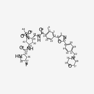 Cc1cc(-c2cnc(-c3ccc(CN4CCOCC4)cc3)o2)ccc1C(=O)NC[C@H]1C[C@@H](NC(=O)[C@@H]2C[C@H](F)CN2)CN1S(C)(=O)=O